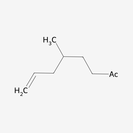 C=CCC(C)CCC(C)=O